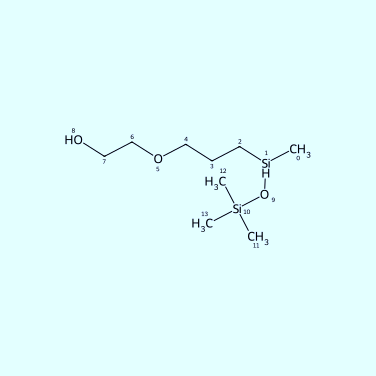 C[SiH](CCCOCCO)O[Si](C)(C)C